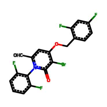 O=Cc1cc(OCc2ccc(F)cc2F)c(Br)c(=O)n1-c1c(F)cccc1F